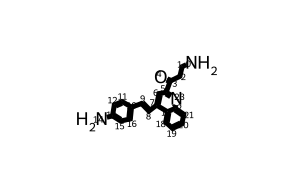 NCCC(=O)c1cc(C=Cc2ccc(N)cc2)c2ccccc2n1